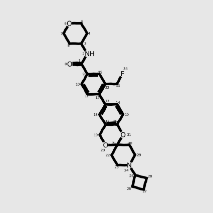 O=C(NC1CCOCC1)c1ccc(-c2ccc3c(c2)COC2(CCN(C4CCC4)CC2)O3)c(CF)c1